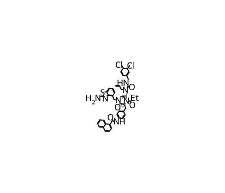 C=CCN(C[C@H]1CN(Cc2cccc3sc(N)nc23)C(=O)[C@H](Cc2ccc(NC(=O)c3cccc4ccccc34)cc2)N1C(=O)CC)C(=O)NCC1=CC(Cl)C(Cl)C=C1